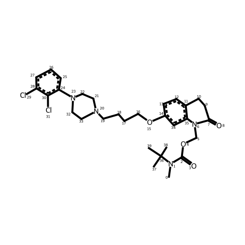 CN(C(=O)OCN1C(=O)CCc2ccc(OCCCCN3CCN(c4cccc(Cl)c4Cl)CC3)cc21)C(C)(C)C